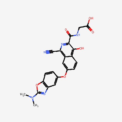 CN(C)c1nc2cc(Oc3ccc4c(O)c(C(=O)NCC(=O)O)nc(C#N)c4c3)ccc2o1